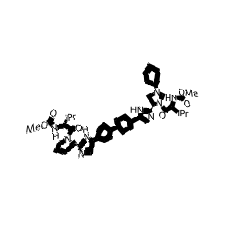 COC(=O)NC(C(=O)N1CN(c2ccccc2)C[C@H]1c1ncc(-c2ccc(-c3ccc(-c4cnc([C@@H]5CCCN5C(=O)[C@@H](NC(=O)OC)C(C)C)[nH]4)cc3)cc2)[nH]1)C(C)C